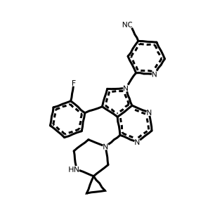 N#Cc1ccnc(-n2cc(-c3ccccc3F)c3c(N4CCNC5(CC5)C4)ncnc32)c1